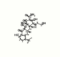 CN(C)c1ccc(O)c2c1C[C@H]1C[C@H]3[C@H](NCCO)C(O)=C(C(N)=O)C(=O)[C@@]3(O)C(O)=C1C2=O